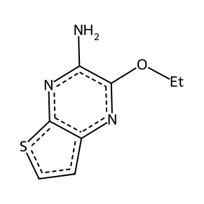 CCOc1nc2ccsc2nc1N